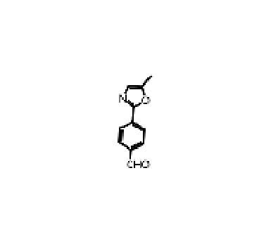 Cc1cnc(-c2ccc(C=O)cc2)o1